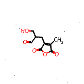 CC1=C(CC(C=O)CO)C(=O)OC1=O